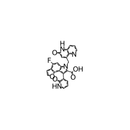 O=C(O)c1c(-c2ccc[nH]c2=O)c2c3occc3c(F)cc2n1Cc1cc(=O)[nH]c2cccnc12